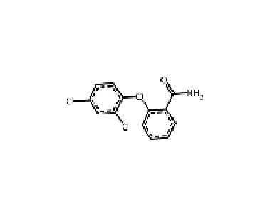 NC(=O)c1ccccc1Oc1ccc(Cl)cc1Cl